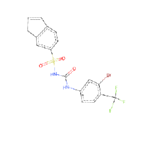 O=C(Nc1ccc(C(F)(F)F)c(Br)c1)NS(=O)(=O)c1ccc2c(c1)CC=C2